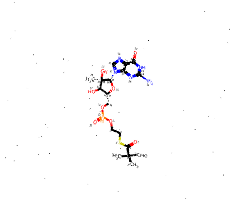 CC(C)(C=O)C(=O)SCCO[PH](=O)OC[C@H]1O[C@@H](n2cnc3c(=O)[nH]c(N)nc32)[C@](C)(O)C1O